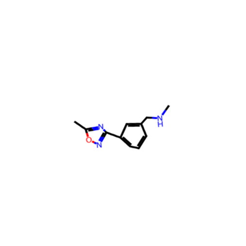 CNCc1cccc(-c2noc(C)n2)c1